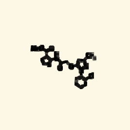 COC(=O)c1ccsc1NC(=O)COc1cc(C(F)(F)F)nn1-c1ccccc1Cl